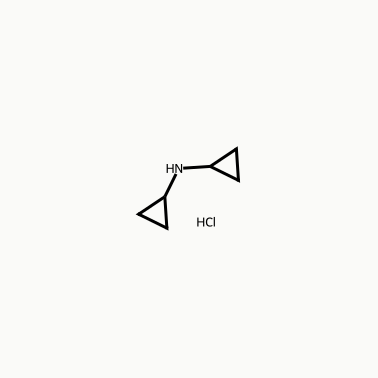 C1CC1NC1CC1.Cl